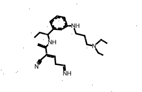 C=C(NC(CC)c1cccc(NCCCN(CC)CC)c1)/C(C#N)=C/CC=N